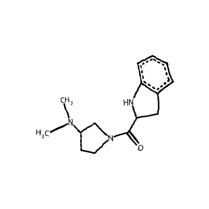 CN(C)C1CCN(C(=O)C2Cc3ccccc3N2)C1